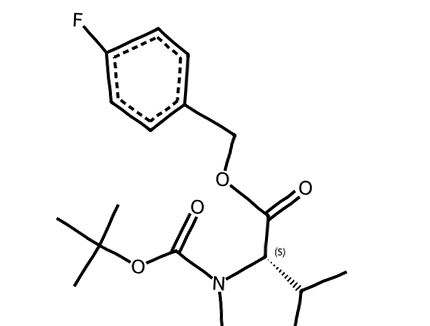 CC(C)[C@@H](C(=O)OCc1ccc(F)cc1)N(C)C(=O)OC(C)(C)C